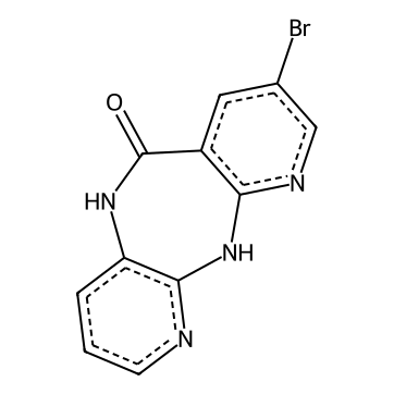 O=C1Nc2cccnc2Nc2ncc(Br)cc21